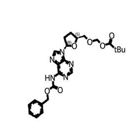 CC(C)(C)C(=O)OCOC[C@@H]1CC[C@H](n2cnc3c(NC(=O)OCc4ccccc4)ncnc32)O1